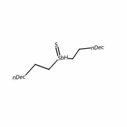 CCCCCCCCCCC[CH2][SbH](=[S])[CH2]CCCCCCCCCCC